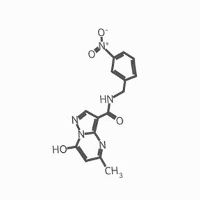 Cc1cc(O)n2ncc(C(=O)NCc3cccc([N+](=O)[O-])c3)c2n1